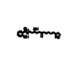 O=C(NCCC(O)CCNCCCCCC1CCSS1)c1ccccc1O